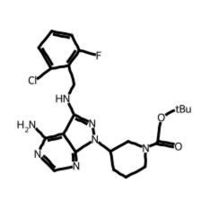 CC(C)(C)OC(=O)N1CCCC(n2nc(NCc3c(F)cccc3Cl)c3c(N)ncnc32)C1